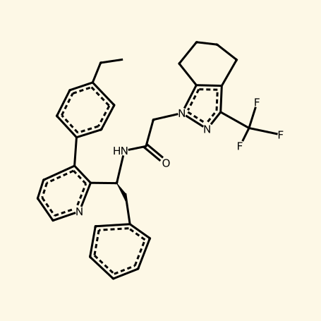 CCc1ccc(-c2cccnc2[C@H](Cc2ccccc2)NC(=O)Cn2nc(C(F)(F)F)c3c2CCCC3)cc1